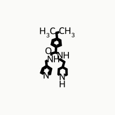 CC(C)c1ccc(C(NCCC2CCNCC2)C(=O)NCc2ccncc2)cc1